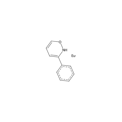 C1=CONC(c2ccccc2)=C1.[Eu]